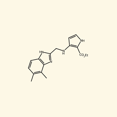 CCOC(=O)c1[nH]ccc1NCc1nc2c(C)c(C)ccc2[nH]1